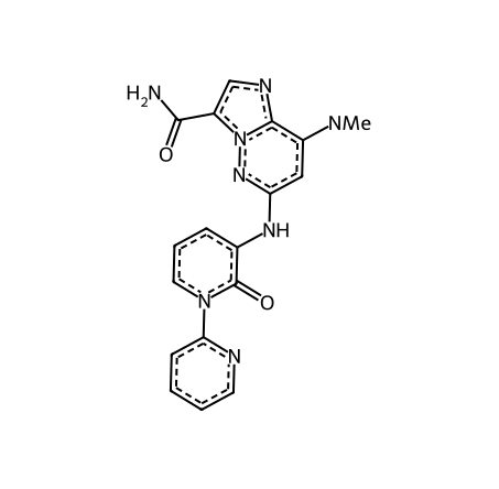 CNc1cc(Nc2cccn(-c3ccccn3)c2=O)nn2c(C(N)=O)cnc12